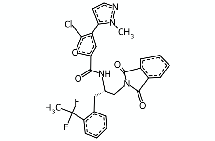 Cn1nccc1-c1cc(C(=O)N[C@@H](Cc2ccccc2C(C)(F)F)CN2C(=O)c3ccccc3C2=O)oc1Cl